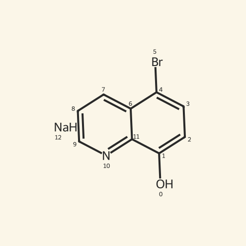 Oc1ccc(Br)c2cccnc12.[NaH]